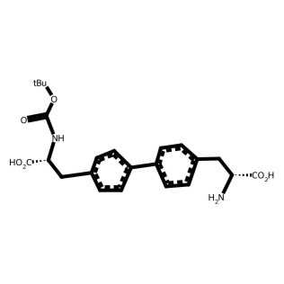 CC(C)(C)OC(=O)N[C@H](Cc1ccc(-c2ccc(C[C@@H](N)C(=O)O)cc2)cc1)C(=O)O